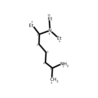 CCC(CCCC(C)N)N(CC)CC